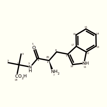 CC(C)(NC(=O)[C@H](N)Cc1c[nH]c2ccccc12)C(=O)O